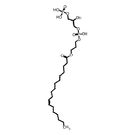 CCCCCC/C=C\CCCCCCCCCC(=O)OCCCOP(=O)(O)OCC(O)COP(=O)(O)O